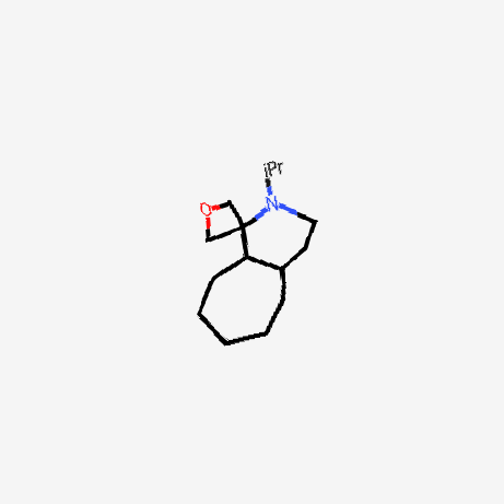 CC(C)N1CCC2CCCCCC2C12COC2